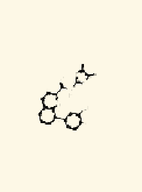 Cc1nc(NC(=O)c2ccc3cccc(-c4cccc(C(F)(F)F)c4)c3n2)sc1C